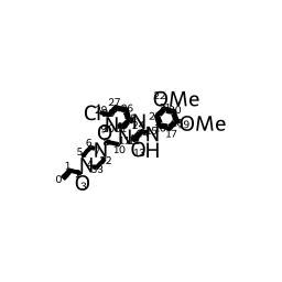 C=CC(=O)N1CCN(C(=O)Cn2c(=O)c(Nc3cc(OC)cc(OC)c3)nc3ccc(Cl)nc32)CC1